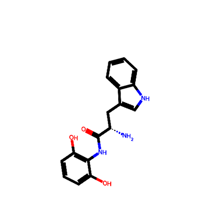 N[C@@H](Cc1c[nH]c2ccccc12)C(=O)Nc1c(O)cccc1O